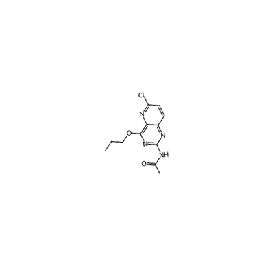 CCCOc1nc(NC(C)=O)nc2ccc(Cl)nc12